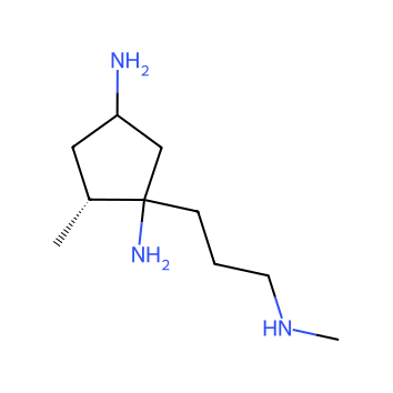 CNCCCC1(N)CC(N)C[C@H]1C